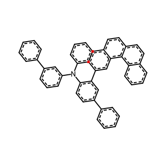 c1ccc(-c2cccc(N(c3ccccc3)c3ccc(-c4ccccc4)cc3-c3ccc4ccc5ccc6ccccc6c5c4c3)c2)cc1